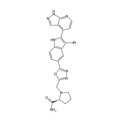 CC(C)c1c(-c2ccnc3[nH]ncc23)[nH]c2ccc(-c3nnc(CN4CCC[C@H]4C(N)=O)o3)cc12